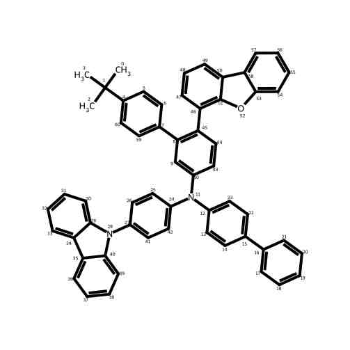 CC(C)(C)c1ccc(-c2cc(N(c3ccc(-c4ccccc4)cc3)c3ccc(-n4c5ccccc5c5ccccc54)cc3)ccc2-c2cccc3c2oc2ccccc23)cc1